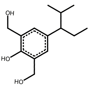 CCC(c1cc(CO)c(O)c(CO)c1)C(C)C